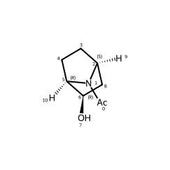 CC(=O)N1[C@H]2CC[C@@H]1[C@H](O)C2